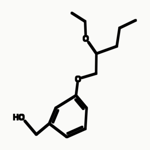 CCCC(COc1cccc(CO)c1)OCC